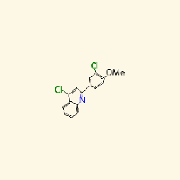 COc1ccc(-c2cc(Cl)c3ccccc3n2)cc1Cl